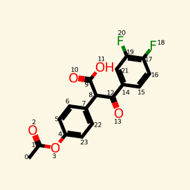 CC(=O)Oc1ccc(C(C(=O)O)C(=O)c2ccc(F)c(F)c2)cc1